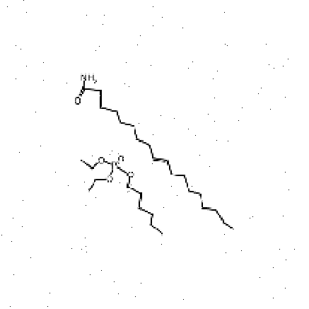 CCCCCCCCC=CCCCCCCCC(N)=O.CCCCCCOP(=O)(OCC)OCC